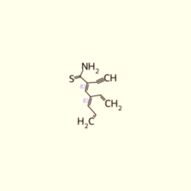 C#C/C(=C\C(C=C)=C\C=C)C(N)=S